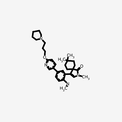 C=Nc1ccc(-c2ccc(OCCCN3CCCCC3)nc2)cc1C1=CN(C)C(=O)C12CCC(C)(C)CC2